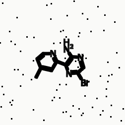 Cc1ccnc(-c2nc(Br)cnc2N)c1